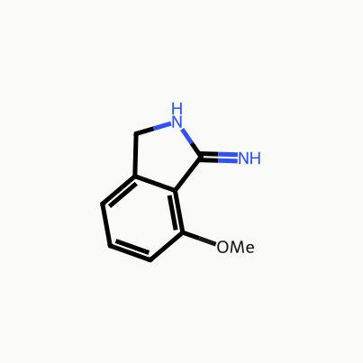 COc1cccc2c1C(=N)NC2